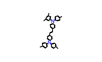 Cc1ccc(N(c2ccc(C)cc2)c2ccc(/C=C/c3ccc(N(c4ccc(C)cc4)c4cc(C)cc(C)c4)cc3)cc2)cc1